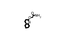 NC(=O)COc1ccc2ccccc2n1